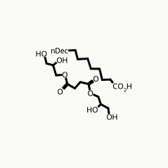 CCCCCCCCCCCCCCCCCC(=O)O.O=C(CCC(=O)OCC(O)CO)OCC(O)CO